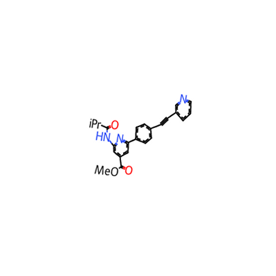 COC(=O)c1cc(NC(=O)C(C)C)nc(-c2ccc(C#Cc3cccnc3)cc2)c1